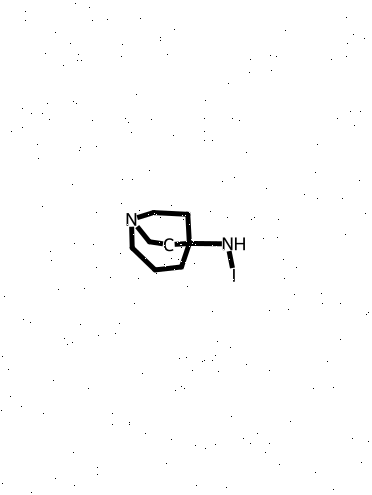 INC12CCCN(CC1)CC2